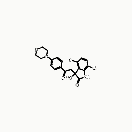 O=C(CC1(O)C(=O)Nc2c(Cl)ccc(Cl)c21)c1ccc(N2CCOCC2)cc1